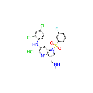 CNCc1cn(S(=O)(=O)c2cccc(F)c2)c2cc(Nc3ccc(Cl)cc3Cl)cnc12.Cl